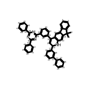 CC1(C)c2ccccc2-c2cc3c(cc21)NC(c1cccc(-c2ccccc2)c1)C=C3c1cccc(-c2nc(-c3ccccc3)nc(-c3ccccc3)n2)c1